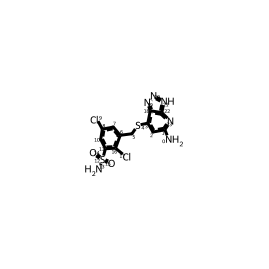 Nc1cc(SCc2cc(Cl)cc(S(N)(=O)=O)c2Cl)c2nn[nH]c2n1